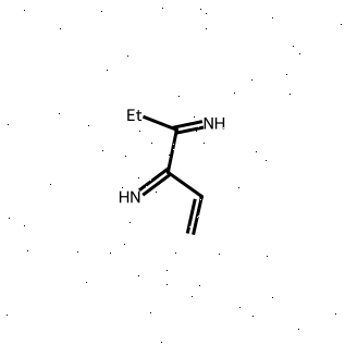 C=CC(=N)C(=N)CC